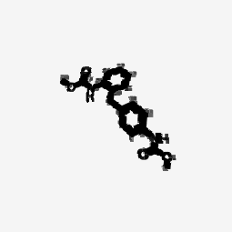 COC(=O)Nc1ccc(Cc2ccccc2NC(=O)OC)cc1